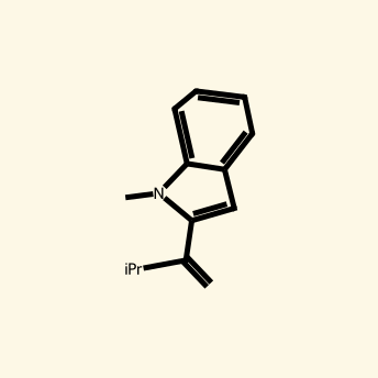 C=C(c1cc2ccccc2n1C)C(C)C